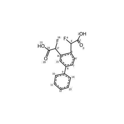 O=C(O)C(F)c1ccc(-c2ccccc2)cc1C(F)C(=O)O